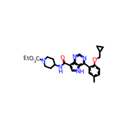 CCOC(=O)N1CCC(NC(=O)c2c[nH]c3c(-c4cc(C)ccc4OCC4CC4)ncnc23)CC1